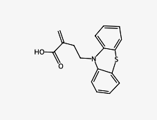 C=C(CCN1c2ccccc2Sc2ccccc21)C(=O)O